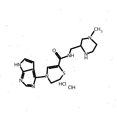 CN1CCNC(CNC(=O)C2=CN(c3ncnc4[nH]ccc34)CCS2)C1.Cl.Cl